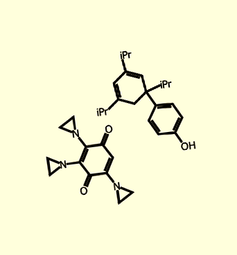 CC(C)C1=CC(c2ccc(O)cc2)(C(C)C)CC(C(C)C)=C1.O=C1C=C(N2CC2)C(=O)C(N2CC2)=C1N1CC1